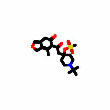 CC1=C2COC=C2CC(=O)C1C(=O)CC1(OS(C)(=O)=O)CCN(C(C)(C)C)CC1